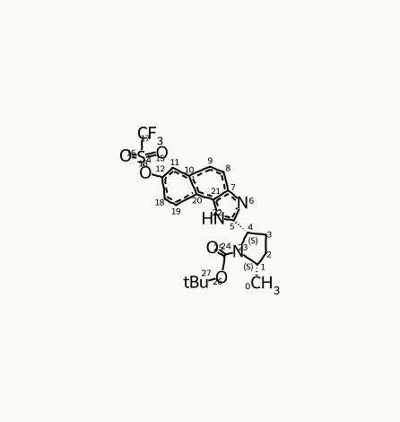 C[C@H]1CC[C@@H](c2nc3ccc4cc(OS(=O)(=O)C(F)(F)F)ccc4c3[nH]2)N1C(=O)OC(C)(C)C